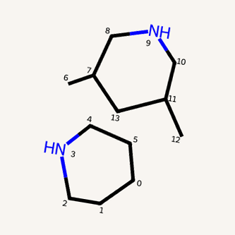 C1CCNCC1.CC1CNCC(C)C1